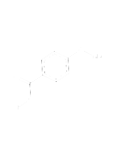 CCCCOc1ccc(C(=O)OI)cc1